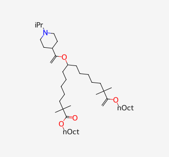 C=C(OC(CCCCCC(C)(C)C(=C)OCCCCCCCC)CCCCCC(C)(C)C(=O)OCCCCCCCC)C1CCN(C(C)C)CC1